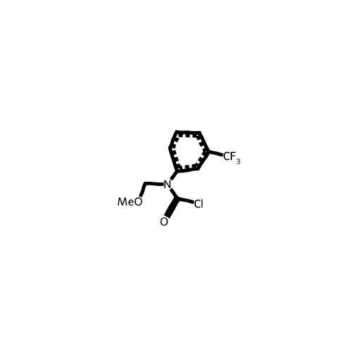 COCN(C(=O)Cl)c1cccc(C(F)(F)F)c1